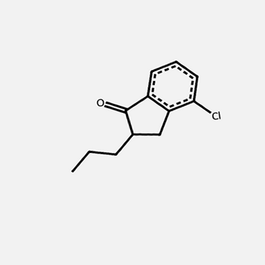 CCCC1Cc2c(Cl)cccc2C1=O